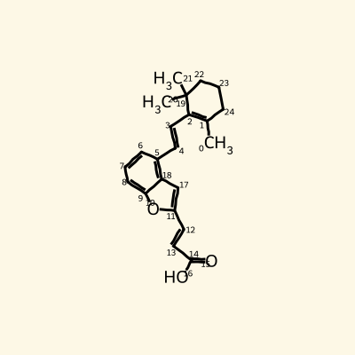 CC1=C(/C=C/c2cccc3oc(/C=C/C(=O)O)cc23)C(C)(C)CCC1